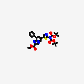 CCOC(=O)c1cn2cc(-c3cnc(N(C(=O)OC(C)(C)C)C(=O)OC(C)(C)C)s3)cc(-c3ccccc3)c2n1